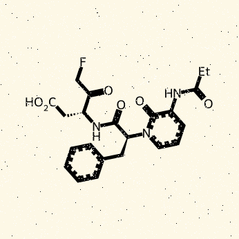 CCC(=O)Nc1cccn([C@@H](Cc2ccccc2)C(=O)N[C@H](CC(=O)O)C(=O)CF)c1=O